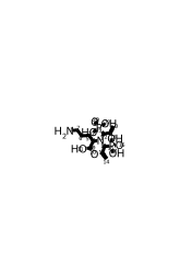 C=CC(N(C(CCCN)C(=O)O)C(C=C)P(=O)(O)O)P(=O)(O)O